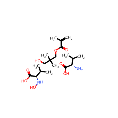 C=C(C)C(=O)OCC(C)(C)CO.CC(C)[C@H](N)C(=O)O.CC(C)[C@H](NO)C(=O)O